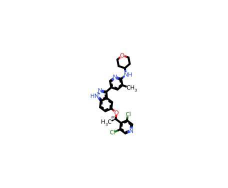 Cc1cc(-c2n[nH]c3ccc(O[C@H](C)c4c(Cl)cncc4Cl)cc23)cnc1NC1CCOCC1